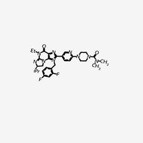 CCN1C(=O)c2nc(-c3ccc(N4CCN(C(=O)N(C)C)CC4)nc3)n(Cc3ccc(F)cc3F)c2N2C[C@@H](C(C)C)N=C12